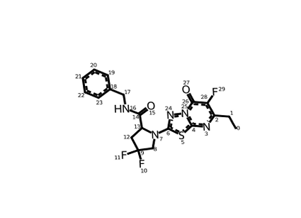 CCc1nc2sc(N3CC(F)(F)CC3C(=O)NCc3ccccc3)nn2c(=O)c1F